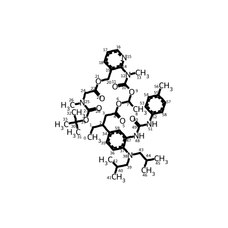 CCC(CC(=O)OC(C)OC(=O)N(C)c1ncccc1COC(=O)CN(C)C(=O)OC(C)(C)C)c1ccc(N(CC(C)C)CC(C)C)c(NC(=O)Nc2ccc(C)cc2)c1